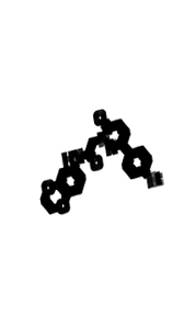 CCc1ccc(-c2ccc(=O)n(CC(=O)Nc3ccc4c(c3)OCCO4)n2)cc1